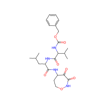 CC(C)CC(NC(=O)C(NC(=O)OCc1ccccc1)C(C)C)C(=O)NC1CCONC(=O)C1=O